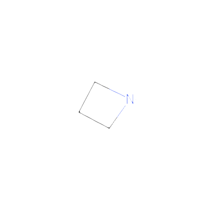 C1C[N]C1